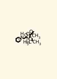 CC(C)C[C@H](NC(=O)CNN1CCCCC1)C(=O)[C@@]1(C)CO1